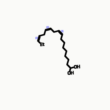 CC/C=C\C/C=C\C/C=C\CCCCCCCC(O)O